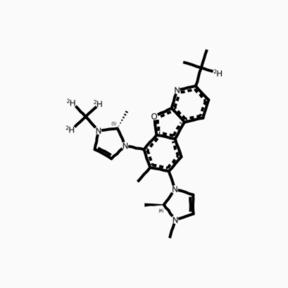 [2H]C(C)(C)c1ccc2c(n1)oc1c(N3C=CN(C([2H])([2H])[2H])[C@@H]3C)c(C)c(N3C=CN(C)[C@H]3C)cc12